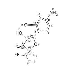 CC[C@@]1(C(F)F)O[C@@H](n2ccc(N)nc2=O)[C@@H](O)[C@@H]1C